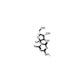 [2H]C1=NC(N)=NC(=C)N1[C@]1([2H])O[C@H](CO)[C@H](O)C1O